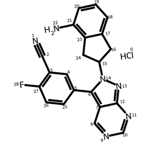 Cl.N#Cc1cc(-c2c3cncnc3nn2C2Cc3cccc(N)c3C2)ccc1F